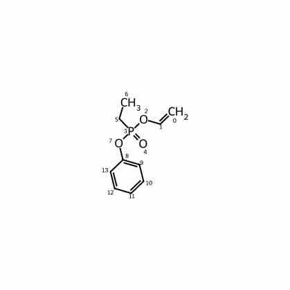 C=COP(=O)(CC)Oc1ccccc1